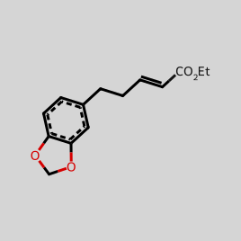 CCOC(=O)/C=C/CCc1ccc2c(c1)OCO2